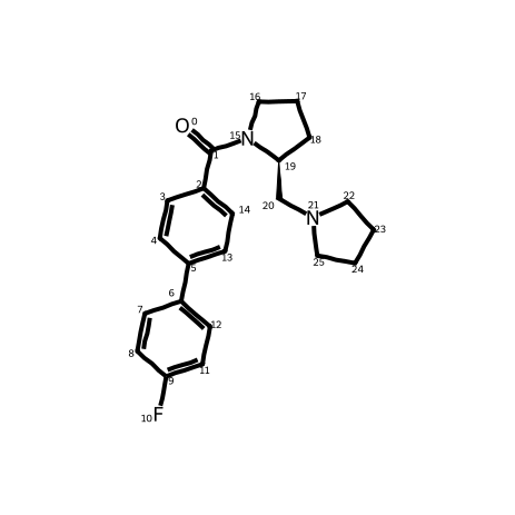 O=C(c1ccc(-c2ccc(F)cc2)cc1)N1CCC[C@H]1CN1CCCC1